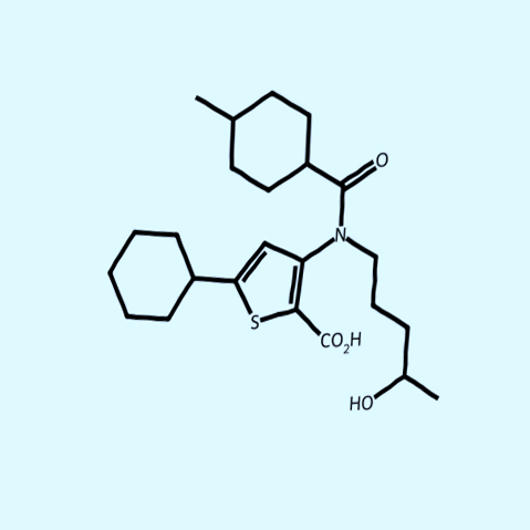 CC(O)CCCN(C(=O)C1CCC(C)CC1)c1cc(C2CCCCC2)sc1C(=O)O